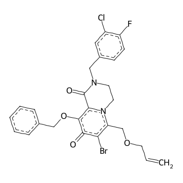 C=CCOCc1c(Br)c(=O)c(OCc2ccccc2)c2n1CCN(Cc1ccc(F)c(Cl)c1)C2=O